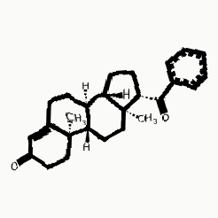 C[C@]12CC[C@H]3[C@@H](CCC4=CC(=O)CC[C@@]43C)[C@@H]1CC[C@@H]2C(=O)c1ccccc1